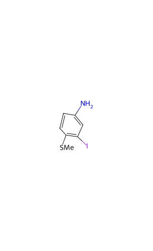 CSc1ccc(N)cc1I